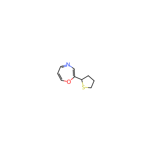 C1=COC(C2CCCS2)=CN=C1